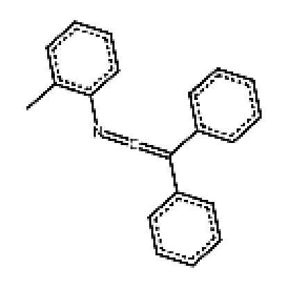 Cc1ccccc1N=C=C(c1ccccc1)c1ccccc1